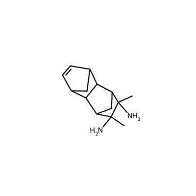 CC1(N)C2CC(C3C4C=CC(C4)C32)C1(C)N